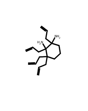 C=CCC1(N)CCCC(CC=C)(CC=C)C1(N)CC=C